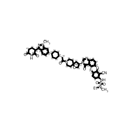 CCN(C)S(=O)(=O)Nc1ccc(F)c(Oc2ccc3ncn([C@H]4COC5(CCN(C(=O)C[C@H]6CC[C@@H](c7ccc8c(C9CCC(=O)NC9=O)nn(C)c8c7)CC6)CC5)C4)c(=O)c3c2)c1C#N